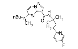 CCCCN(C)c1ccn2ncc(C(=O)NC(C)(C)CCc3ccc(F)cn3)c2n1